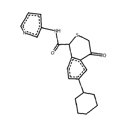 O=C1CSC(C(=O)Nc2cccnc2)c2ccc(C3CCCCC3)cc21